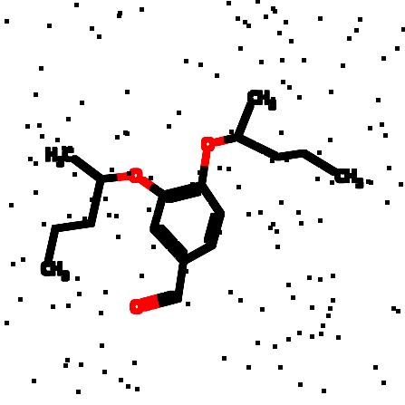 CCCC(C)Oc1ccc(C=O)cc1OC(C)CCC